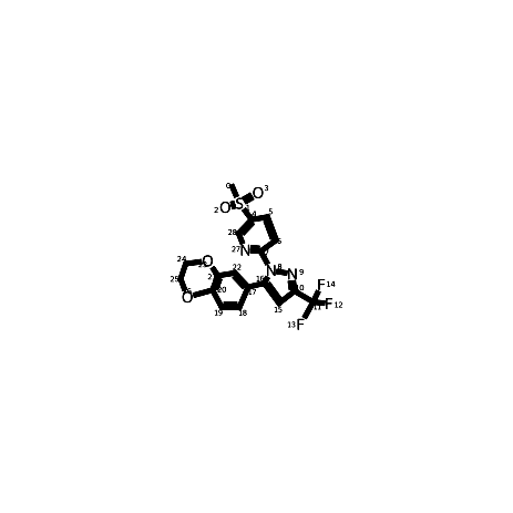 CS(=O)(=O)c1ccc(-n2nc(C(F)(F)F)cc2-c2ccc3c(c2)OCCO3)nc1